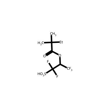 CCC(C)(C)C(=O)OC(C(F)(F)F)C(F)(F)S(=O)(=O)O